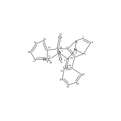 COC(=O)N1C2C=CC1C(S(=O)(=O)c1ccccc1)=C2c1ccccc1